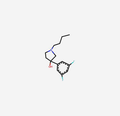 CCCCN1CCC(O)(c2cc(F)cc(F)c2)C1